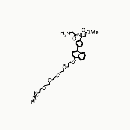 COC(=O)C[C@H](NC(=O)CN)c1ccc(-c2ccc(OCCOCCOCCOCCOCCN=[N+]=[N-])c3ccccc23)cc1